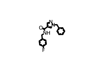 O=C(NCc1ccc(F)cc1)c1cnn(Cc2ccccc2)c1